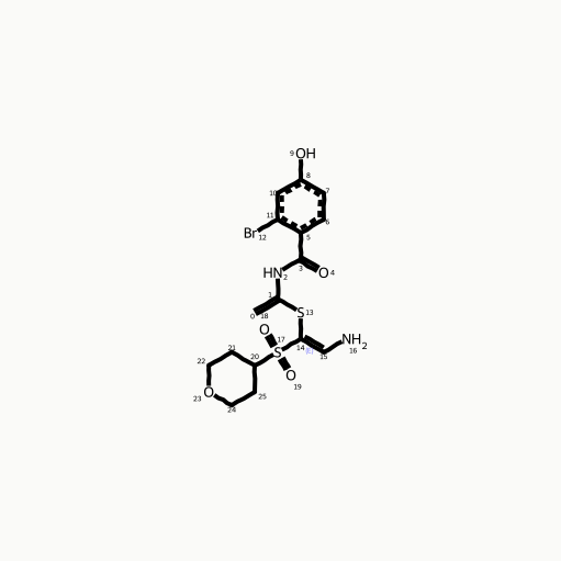 C=C(NC(=O)c1ccc(O)cc1Br)S/C(=C\N)S(=O)(=O)C1CCOCC1